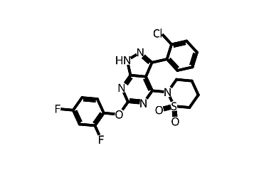 O=S1(=O)CCCCN1c1nc(Oc2ccc(F)cc2F)nc2[nH]nc(-c3ccccc3Cl)c12